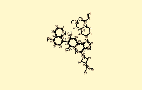 C=CC(=O)N1CC[C@H](n2cnc3c(N4CC(N(C)C)C4)nc4c(F)c(-c5ccc(F)c6cccnc56)c(Cl)cc4c32)C[C@H]1CC#N